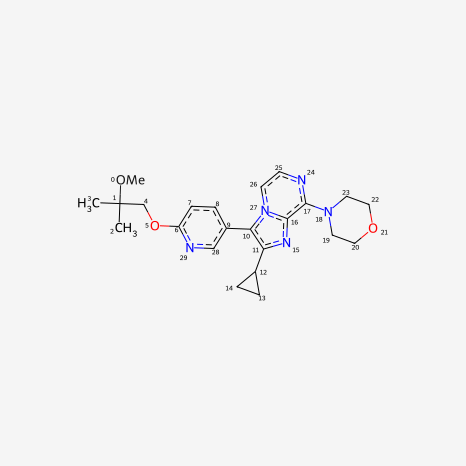 COC(C)(C)COc1ccc(-c2c(C3CC3)nc3c(N4CCOCC4)nccn23)cn1